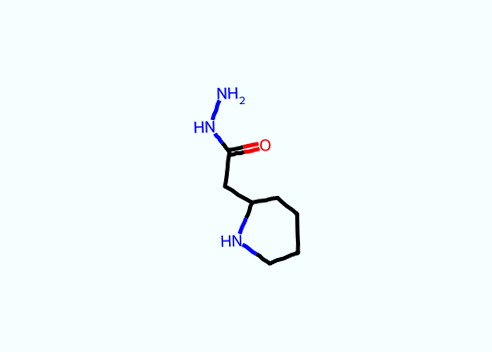 NNC(=O)CC1CCCCN1